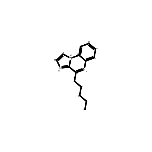 CCCCCc1nc2ccccc2n2ccnc12